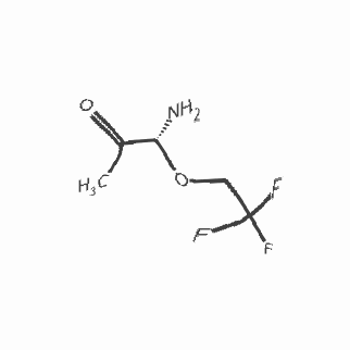 CC(=O)[C@H](N)OCC(F)(F)F